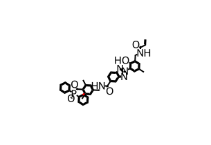 C=CC(=O)NCc1cc(C)cc(-n2nc3ccc(C(=O)NCc4cc(C)c(C(=O)P(=O)(c5ccccc5)c5ccccc5)c(C)c4)cc3n2)c1O